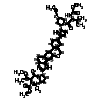 COC[C@H]1C[C@@H](c2ncc(-c3ccc4c(c3)COc3cc5c(ccc6nc([C@@H]7CC[C@H](C)N7C(=O)[C@@H](NC(=O)OC)[C@@H](C)OC)[nH]c65)cc3-4)[nH]2)N(C(=O)[C@@H](NC(=O)OC)C(C)C)C1